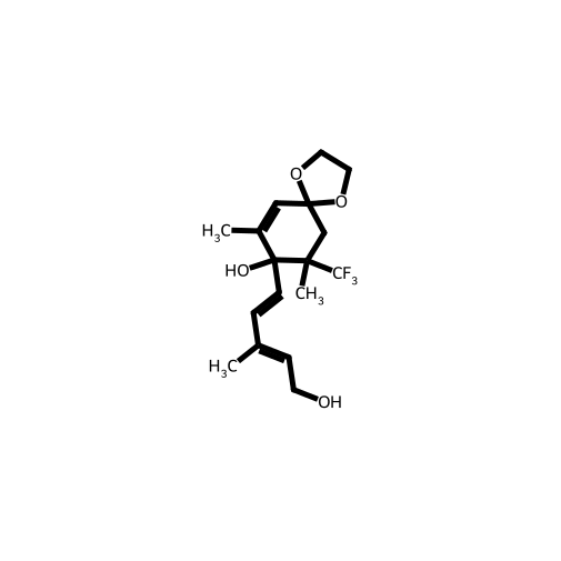 CC(C=CC1(O)C(C)=CC2(CC1(C)C(F)(F)F)OCCO2)=CCO